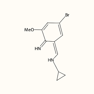 COC1=CC(Br)=C/C(=C/NC2CC2)C1=N